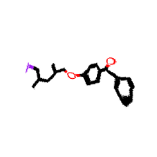 CC(CI)CC(C)COc1ccc(C(=O)c2ccccc2)cc1